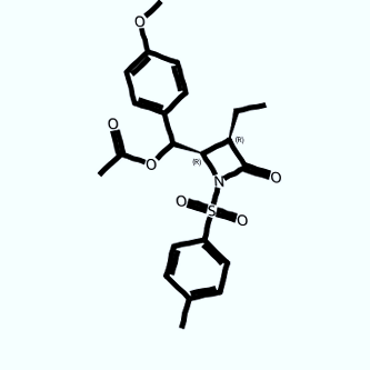 CC[C@H]1C(=O)N(S(=O)(=O)c2ccc(C)cc2)[C@H]1C(OC(C)=O)c1ccc(OC)cc1